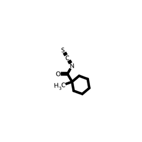 CC1(C(=O)N=C=S)CCCCC1